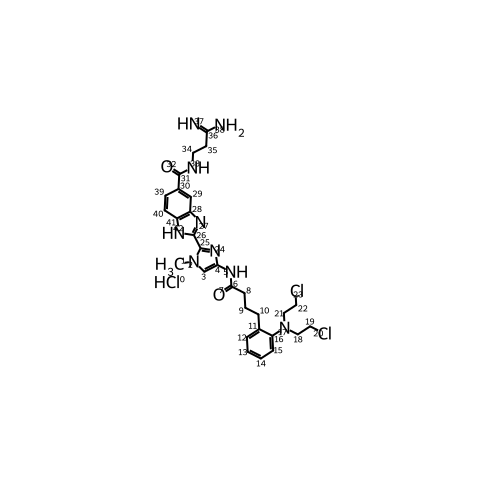 Cl.Cn1cc(NC(=O)CCCc2ccccc2N(CCCl)CCCl)nc1-c1nc2cc(C(=O)NCCC(=N)N)ccc2[nH]1